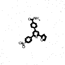 NC(=O)c1ccc(-c2cc(-c3ccc([N+](=O)[O-])cc3)nc(-c3ccco3)c2)cc1